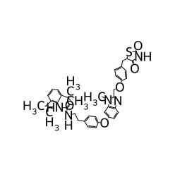 CC(C)c1cccc(C(C)C)c1NC(=O)NCCc1ccc(Oc2ccc3nc(COc4ccc(CC5SC(=O)NC5=O)cc4)n(C)c3c2)cc1